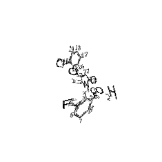 O=C(O)C(Cc1c(F)cccc1F)N1CC(Oc2ccccc2Cl)=CC1=O